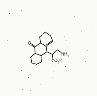 NCC(C(=O)O)C1C2=CCCCC2C(=O)C2CCCCC21